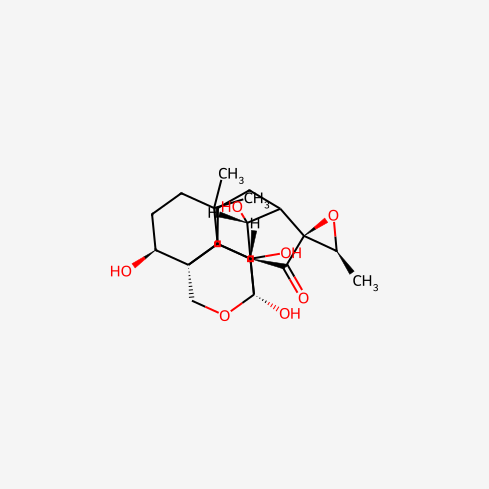 C[C@@H]1O[C@]12C(=O)[C@@]13C(CCC2[C@H]1O)[C@@]12CO[C@@]3(O)[C@@H](O)C1C(C)(C)CC[C@@H]2O